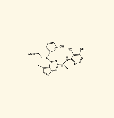 COCCN(c1cccc(O)c1)c1nc([C@H](C)Nc2ncnc(N)c2C#N)nn2ccc(C)c12